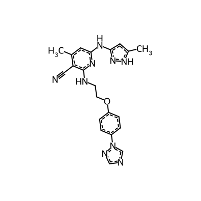 Cc1cc(Nc2cc(C)c(C#N)c(NCCOc3ccc(-n4cncn4)cc3)n2)n[nH]1